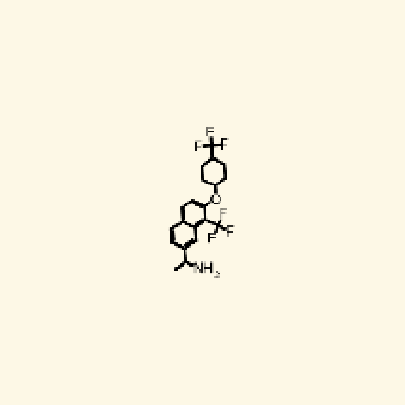 CC(N)c1ccc2ccc(OC3CCC(C(F)(F)F)CC3)c(C(F)(F)F)c2c1